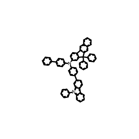 c1ccc(-c2ccc(N(c3ccc(-c4ccc5c6ccccc6n(-c6ccccc6)c5c4)cc3)c3ccc4c(c3)C(c3ccccc3)(c3ccccc3)c3cc5ccccc5cc3-4)cc2)cc1